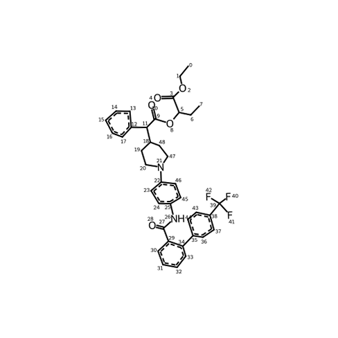 CCOC(=O)C(CC)OC(=O)C(c1ccccc1)C1CCN(c2ccc(NC(=O)c3ccccc3-c3ccc(C(F)(F)F)cc3)cc2)CC1